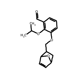 CC(C)Oc1c(C=O)cccc1OCC1CC2C=CC1O2